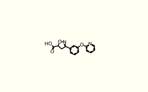 O=C(O)C1CC(c2cccc(Oc3ccccn3)c2)=NO1